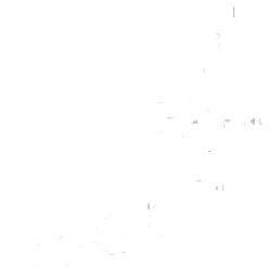 CCSCCCO[C@]1(C(=O)O)C[C@H](O)CC([C@H](O)CCNC(=O)c2ccc(-c3ccccc3)cc2)O1